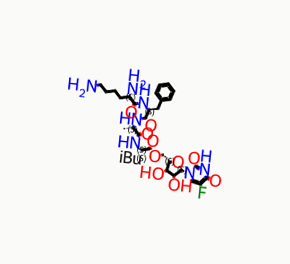 CC[C@H](C)[C@H](NC(=O)[C@H](C)NC(=O)[C@H](Cc1ccccc1)NC(=O)[C@@H](N)CCCCN)C(=O)OC[C@@H]1O[C@H](n2cc(F)c(=O)[nH]c2=O)C(O)C1O